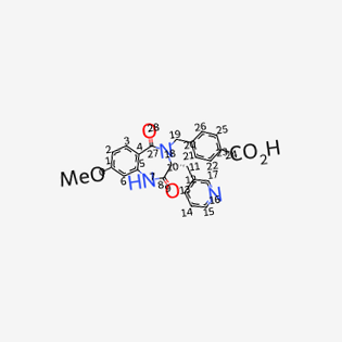 COc1ccc2c(c1)NC(=O)[C@@H](Cc1cccnc1)N(Cc1ccc(C(=O)O)cc1)C2=O